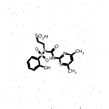 Cc1cc(C)nc(NC(=O)N(CCS(=O)(=O)O)S(=O)(=O)c2ccccc2O)n1